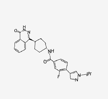 CC(C)n1cc(-c2ccc(C(=O)N[C@H]3CC[C@H](c4n[nH]c(=O)c5ccccc54)CC3)cc2F)cn1